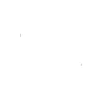 C[SiH](C)CCCCCCCCBr